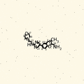 CN(Cc1cccc(-c2cnc(NCCN3CCOCC3)nc2)c1)C(=O)CN